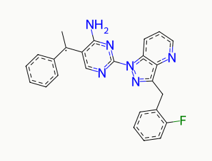 C[C](c1ccccc1)c1cnc(-n2nc(Cc3ccccc3F)c3ncccc32)nc1N